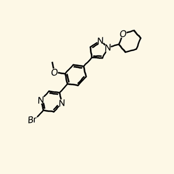 COc1cc(-c2cnn(C3CCCCO3)c2)ccc1-c1cnc(Br)cn1